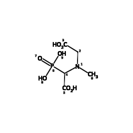 CN(CC(=O)O)C(C(=O)O)P(=O)(O)O